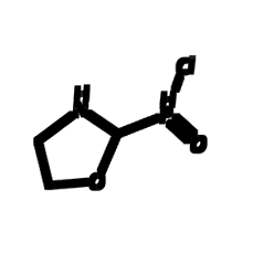 O=[PH](Cl)C1NCCO1